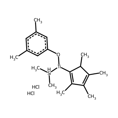 CC1=C(C)C(C)[C]([Ti]([O]c2cc(C)cc(C)c2)[SiH](C)C)=C1C.Cl.Cl